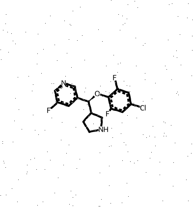 Fc1cncc([C@@H](Oc2c(F)cc(Cl)cc2F)C2CCNC2)c1